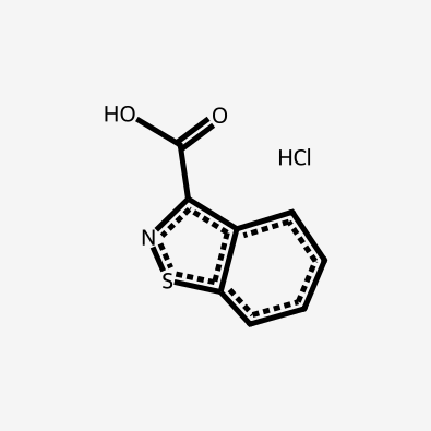 Cl.O=C(O)c1nsc2ccccc12